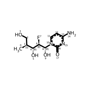 C[C@@H](CO)[C@@H](O)[C@@H](F)[C@@H](O)n1ccc(N)nc1=O